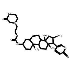 CC(=O)OC1CC2(O)C3CCC4CC(NC(=O)OCCN5CCNC(=O)C5)CCC4(C)C3CCC2(C)C1c1ccc(=O)oc1